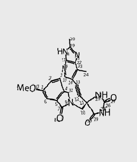 COc1ccc2c(c1)C(=O)N(C[C@@]1(C#Cc3cnc4[nH]c(C)nc4c3C)NC(=O)NC1=O)C2